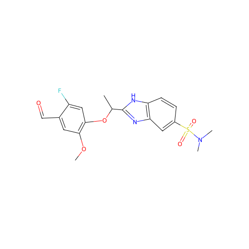 COc1cc(C=O)c(F)cc1OC(C)c1nc2cc(S(=O)(=O)N(C)C)ccc2[nH]1